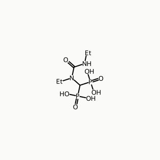 CCNC(=O)N(CC)C(P(=O)(O)O)P(=O)(O)O